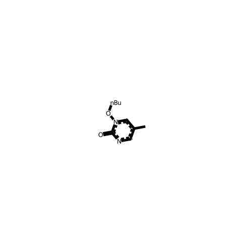 CCCCOn1cc(C)[c]nc1=O